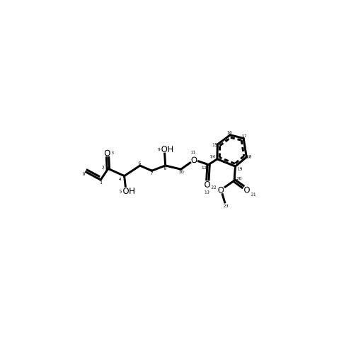 C=CC(=O)C(O)CCC(O)COC(=O)c1ccccc1C(=O)OC